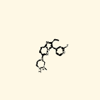 CCc1nc2ccc(N3CCN[C@H](C)C3)nn2c1-c1ccnc(F)c1